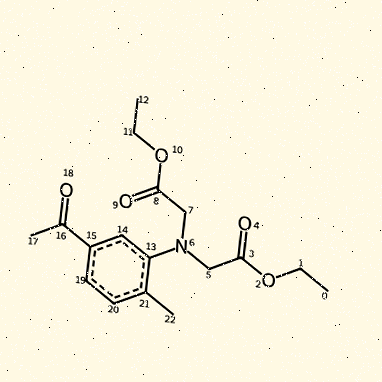 CCOC(=O)CN(CC(=O)OCC)c1cc(C(C)=O)ccc1C